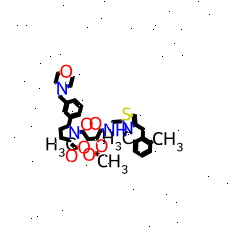 CC(=O)O[C@@H](C(=O)NCc1nc(Cc2c(C)cccc2C)cs1)[C@@H](OC(C)=O)C(=O)N1CCCC1c1cccc(CN2CCOCC2)c1